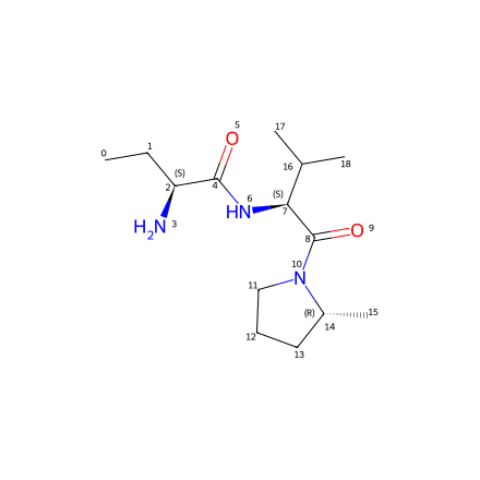 CC[C@H](N)C(=O)N[C@H](C(=O)N1CCC[C@H]1C)C(C)C